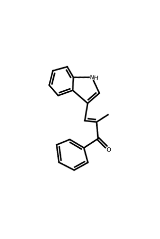 C/C(=C\c1c[nH]c2ccccc12)C(=O)c1ccccc1